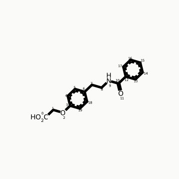 O=C(O)COc1ccc(CCNC(=O)c2ccccc2)cc1